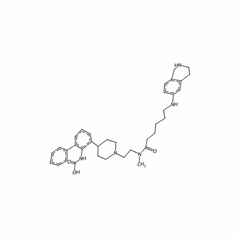 CN(CCN1CCC(c2cccc(-c3ccccc3)c2NC(=O)O)CC1)C(=O)CCCCCNc1ccc2c(c1)CCNC2